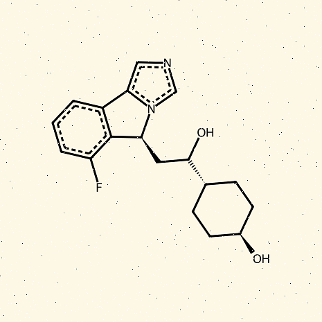 OC(C[C@H]1c2c(F)cccc2-c2cncn21)[C@H]1CC[C@H](O)CC1